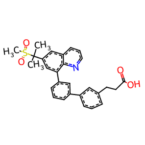 CC(C)(c1cc(-c2cccc(-c3cccc(CCC(=O)O)c3)c2)c2ncccc2c1)S(C)(=O)=O